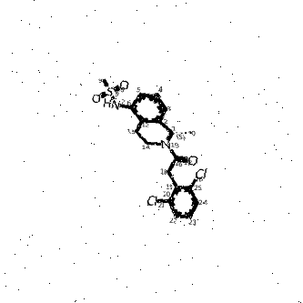 C[C@H]1c2cccc(NS(C)(=O)=O)c2CCN1C(=O)Cc1c(Cl)cccc1Cl